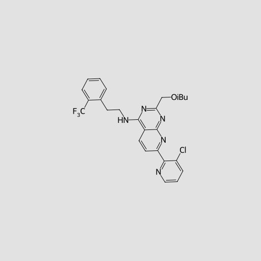 CC(C)COCc1nc(NCCc2ccccc2C(F)(F)F)c2ccc(-c3ncccc3Cl)nc2n1